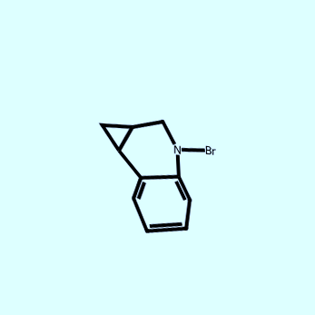 BrN1CC2CC2c2ccccc21